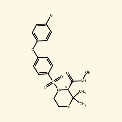 CC1(C)SCCN(S(=O)(=O)c2ccc(Oc3ccc(Br)cc3)cc2)[C@H]1C(=O)NO